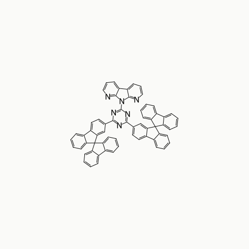 c1ccc2c(c1)-c1ccccc1C21c2ccccc2-c2ccc(-c3nc(-c4ccc5c(c4)C4(c6ccccc6-c6ccccc64)c4ccccc4-5)nc(-n4c5ncccc5c5cccnc54)n3)cc21